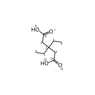 CCC(CC)(CC(=O)O)CC(=O)O